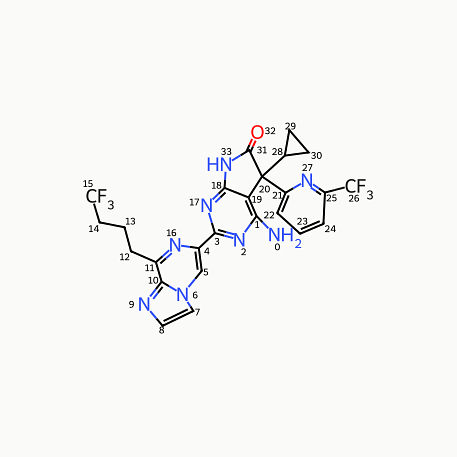 Nc1nc(-c2cn3ccnc3c(CCCC(F)(F)F)n2)nc2c1C(c1cccc(C(F)(F)F)n1)(C1CC1)C(=O)N2